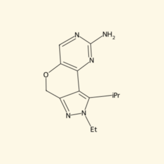 CCn1nc2c(c1C(C)C)-c1nc(N)ncc1OC2